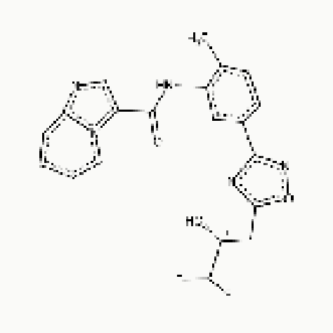 Cc1ccc(-c2noc(C[C@@H](O)C(F)F)n2)cc1NC(=O)c1cnc2ccccn12